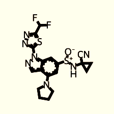 N#CC1(N[S+]([O-])c2cc(N3CCCC3)c3cnn(-c4nnc(C(F)F)s4)c3c2)CC1